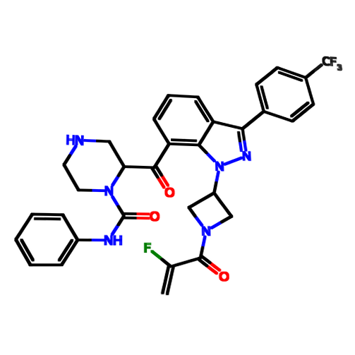 C=C(F)C(=O)N1CC(n2nc(-c3ccc(C(F)(F)F)cc3)c3cccc(C(=O)C4CNCCN4C(=O)Nc4ccccc4)c32)C1